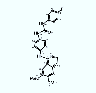 COc1cc2ncnc(Nc3ccc(NC(=O)Nc4ccc(F)cc4)cc3)c2cc1OC